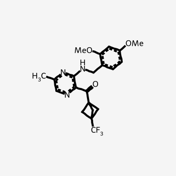 COc1ccc(CNc2nc(C)cnc2C(=O)C23CC(C(F)(F)F)(C2)C3)c(OC)c1